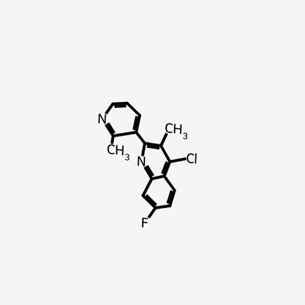 Cc1ncccc1-c1nc2cc(F)ccc2c(Cl)c1C